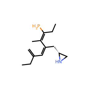 C=C(/C=C(C[C@@H]1CN1)\C(C)=C(\P)CC)CC